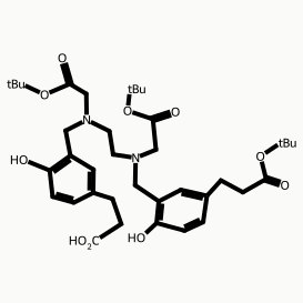 CC(C)(C)OC(=O)CCc1ccc(O)c(CN(CCN(CC(=O)OC(C)(C)C)Cc2cc(CCC(=O)O)ccc2O)CC(=O)OC(C)(C)C)c1